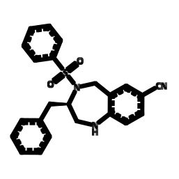 N#Cc1ccc2c(c1)CN(S(=O)(=O)c1ccccc1)[C@H](Cc1ccccc1)CN2